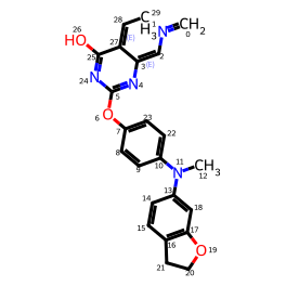 C=N/C=c1/nc(Oc2ccc(N(C)c3ccc4c(c3)OCC4)cc2)nc(O)/c1=C/C